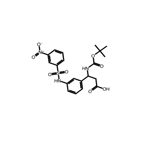 CC(C)(C)OC(=O)NC(CC(=O)O)c1cccc(NS(=O)(=O)c2cccc([N+](=O)[O-])c2)c1